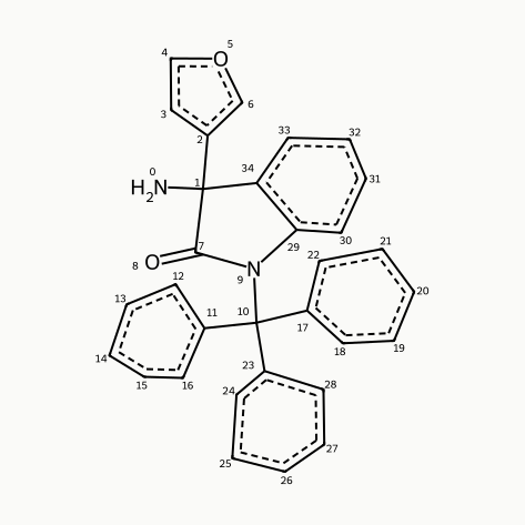 NC1(c2ccoc2)C(=O)N(C(c2ccccc2)(c2ccccc2)c2ccccc2)c2ccccc21